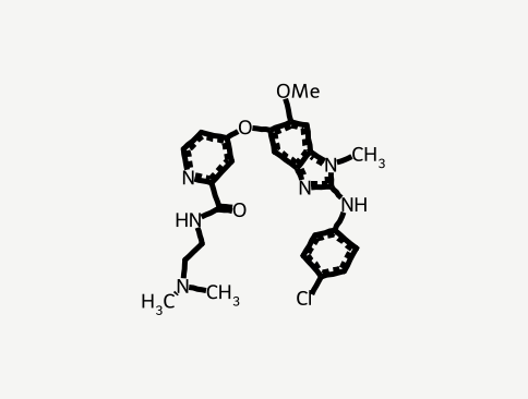 COc1cc2c(cc1Oc1ccnc(C(=O)NCCN(C)C)c1)nc(Nc1ccc(Cl)cc1)n2C